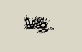 CCCCC1=Cc2c(-c3ccccc3CCCC)cccc2[CH]1[Hf]([CH]1C(CCCC)=Cc2c(-c3ccccc3CCCC)cccc21)[SiH](C)C